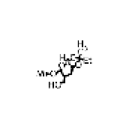 CCC(C)(C)OC(=O)CC(CO)C(=O)OC